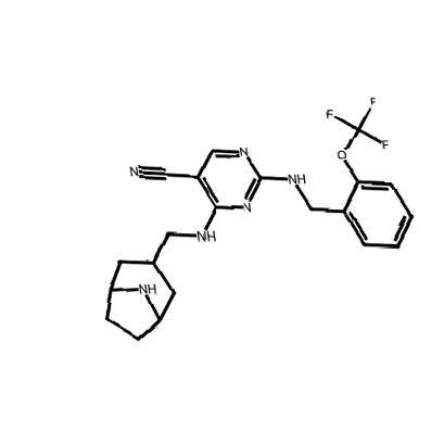 N#Cc1cnc(NCc2ccccc2OC(F)(F)F)nc1NCC1CC2CCC(C1)N2